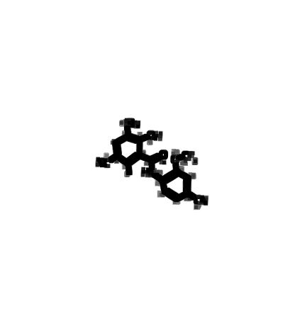 Cc1c(C#N)cc(C(C)(C)C)c(O)c1C(=O)Nc1ccc(C#N)cc1OC(F)(F)F